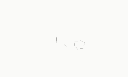 CC(=CC(C)O)CNCc1ccccc1